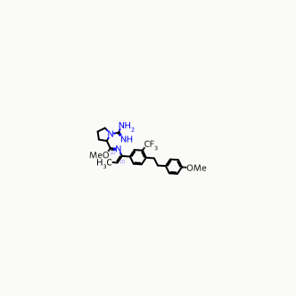 C/C=C(\N=C(/OC)C1CCCN1C(=N)N)c1ccc(CCc2ccc(OC)cc2)c(C(F)(F)F)c1